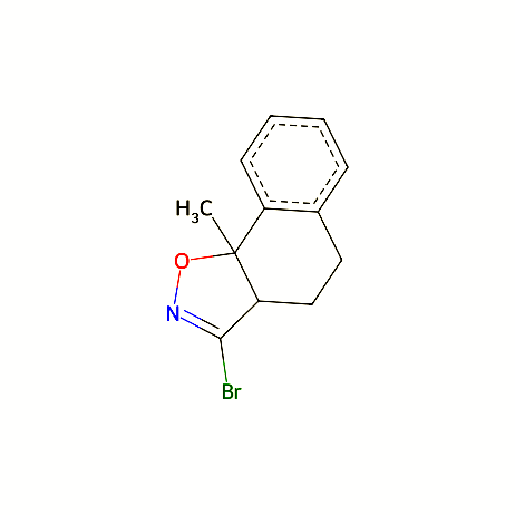 CC12ON=C(Br)C1CCc1ccccc12